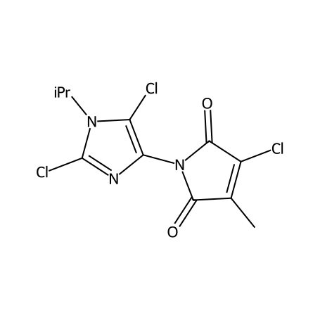 CC1=C(Cl)C(=O)N(c2nc(Cl)n(C(C)C)c2Cl)C1=O